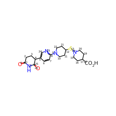 O=C1CCC(c2ccc(N3CCC(SN4CCC(C(=O)O)CC4)CC3)nc2)C(=O)N1